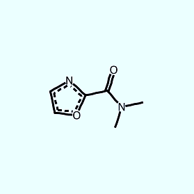 CN(C)C(=O)c1ncco1